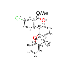 COC(=O)c1cc(Cl)ccc1-c1cccc2c1Oc1ccccc1C2(C)C